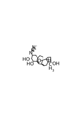 C[C@]12CC=C3C=C4[C@@H](O)[C@H](O)[C@@H](N=[N+]=[N-])C[C@]45CC[C@]3(O5)[C@@H]1CC[C@@H]2O